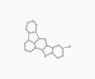 Clc1ccc2oc3c4cccc5c4c(cc3c2c1)-c1ccccc1-5